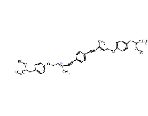 CCOC(Cc1ccc(OC/C=C(\C)C#Cc2ccc(C#C/C(C)=C/COc3ccc(CC(OCC)C(=O)O)cc3)cc2)cc1)C(=O)O